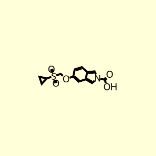 O=C(O)n1cc2ccc(OCS(=O)(=O)C3CC3)cc2c1